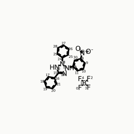 F[B-](F)(F)F.O=[N+]([O-])c1cccc([NH+]2N=C(c3ccccc3)NN2c2ccccc2)c1